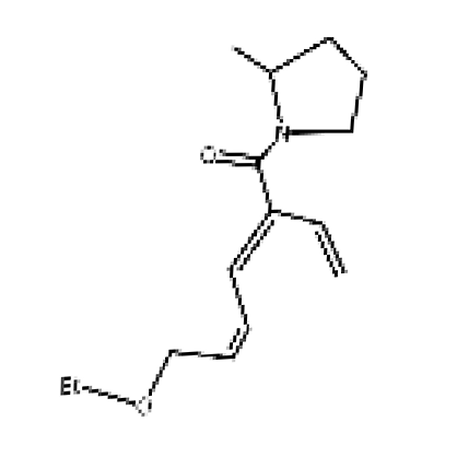 C=C/C(=C\C=C/COCC)C(=O)N1CCCC1C